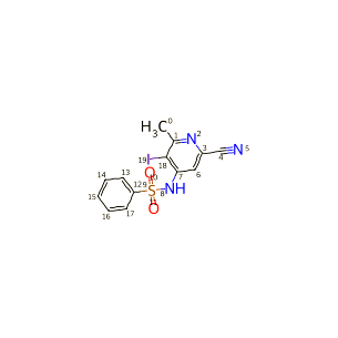 Cc1nc(C#N)cc(NS(=O)(=O)c2ccccc2)c1I